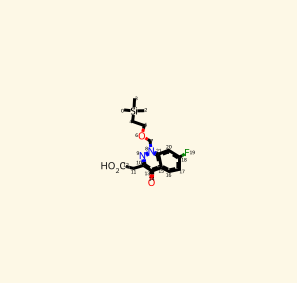 C[Si](C)(C)CCOCn1nc(CC(=O)O)c(=O)c2ccc(F)cc21